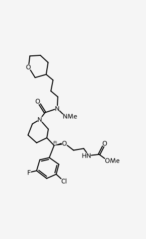 CNN(CCCC1CCCOC1)C(=O)N1CCCC([C@@H](OCCNC(=O)OC)c2cc(F)cc(Cl)c2)C1